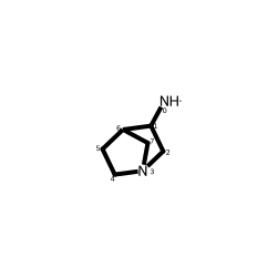 [NH]C1CN2CCC1C2